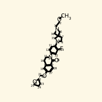 COCCN1CC2(CCN(c3ccc(N4CCc5cc(OC[C@@H]6CCCO6)ccc5C4=O)cc3F)C2)C1